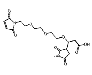 O=C(O)CC(OCCOCCOCCN1C(=O)C=CC1=O)C1CC(=O)NC1=O